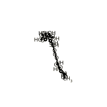 CS(=O)(=O)c1nnc(-c2ccc(NC(=O)CCC(=O)NCCCOCCOCCOCCCNC(=S)Nc3ccc(C[C@@H](CN(CC(=O)O)[C@@H]4CCCC[C@H]4C(CC(=O)O)CC(=O)O)N(CC(=O)O)CC(=O)O)cc3)cc2)o1